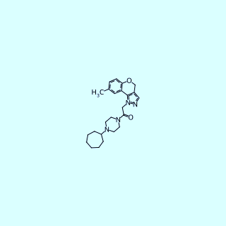 Cc1ccc2c(c1)-c1c(cnn1CC(=O)N1CCN(C3CCCCCC3)CC1)CO2